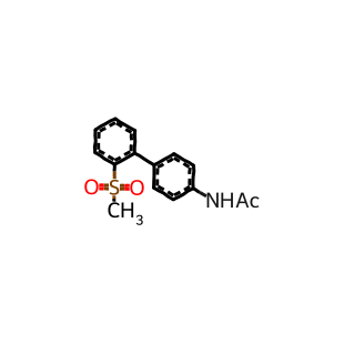 CC(=O)Nc1ccc(-c2ccccc2S(C)(=O)=O)cc1